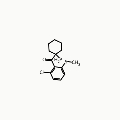 CSc1cccc(Cl)c1C(=O)C1(P)CCCCC1